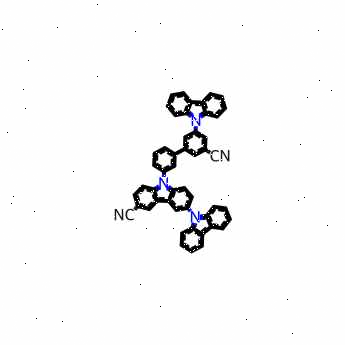 N#Cc1cc(-c2cccc(-n3c4ccc(C#N)cc4c4cc(-n5c6ccccc6c6ccccc65)ccc43)c2)cc(-n2c3ccccc3c3ccccc32)c1